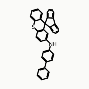 c1ccc(-c2ccc(Nc3ccc4c(c3)C3(c5ccccc5S4)c4ccccc4-c4ccccc43)cc2)cc1